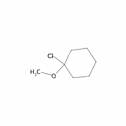 COC1(Cl)CCCCC1